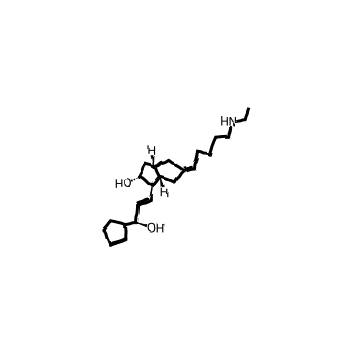 CCNCCCC/C=C1\C[C@H]2C[C@@H](O)[C@H](/C=C/[C@@H](O)C3CCCC3)[C@H]2C1